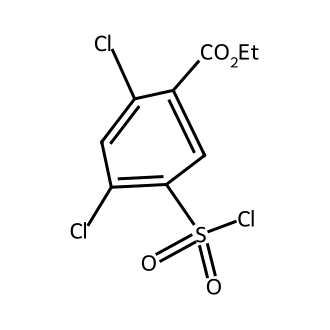 CCOC(=O)c1cc(S(=O)(=O)Cl)c(Cl)cc1Cl